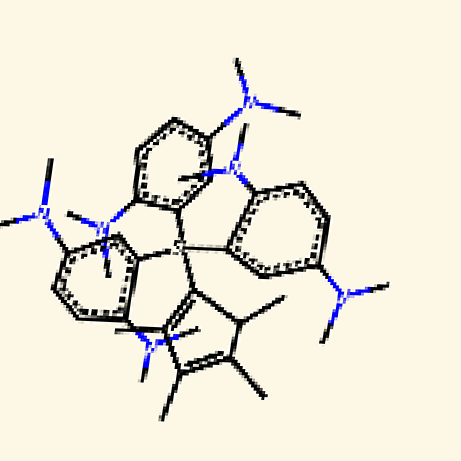 CC1=C(C)C(C)C([Si](c2cc(N(C)C)ccc2N(C)C)(c2cc(N(C)C)ccc2N(C)C)c2cc(N(C)C)ccc2N(C)C)=C1C